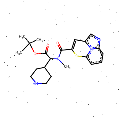 CN(C(=O)C1=Cc2cnc3cccc(n23)S1)C(C(=O)OC(C)(C)C)C1CCNCC1